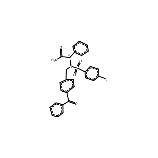 NC(=O)[C@@H](c1ccccc1)N(Cc1ccc(C(=O)c2ccccc2)cc1)S(=O)(=O)c1ccc(Cl)cc1